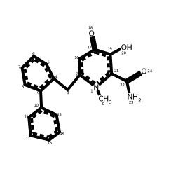 Cn1c(Cc2ccccc2-c2ccccc2)cc(=O)c(O)c1C(N)=O